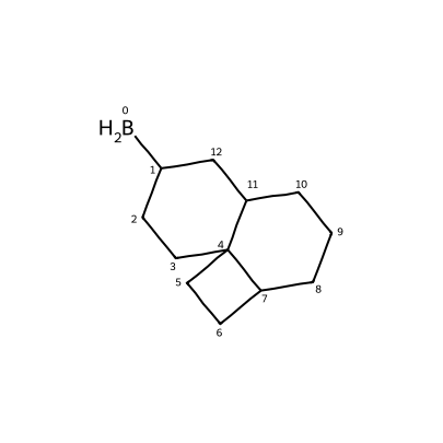 BC1CCC23CCC2CCCC3C1